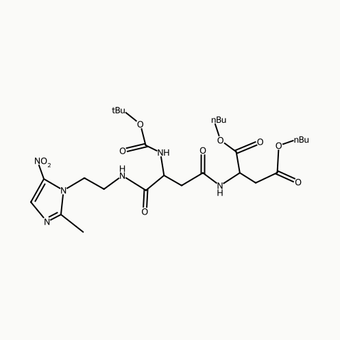 CCCCOC(=O)CC(NC(=O)CC(NC(=O)OC(C)(C)C)C(=O)NCCn1c([N+](=O)[O-])cnc1C)C(=O)OCCCC